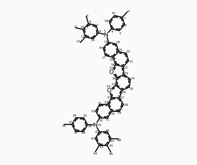 Cc1ccc(N(c2cc(C)c(C)c(C)c2)c2ccc3c(ccc4c5ccc6c7ccc8cc(N(c9ccc(C)cc9)c9cc(C)c(C)c(C)c9)ccc8c7oc6c5oc34)c2)cc1